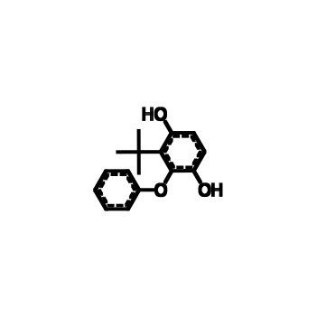 CC(C)(C)c1c(O)ccc(O)c1Oc1ccccc1